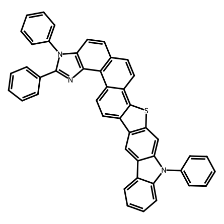 c1ccc(-c2nc3c4c(ccc5c4ccc4c6cc7c8ccccc8n(-c8ccccc8)c7cc6sc45)ccc3n2-c2ccccc2)cc1